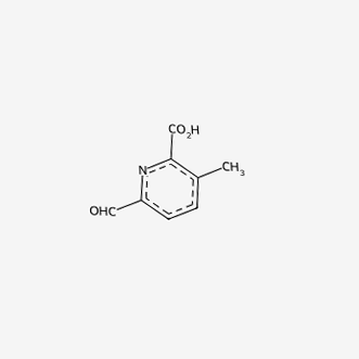 Cc1ccc(C=O)nc1C(=O)O